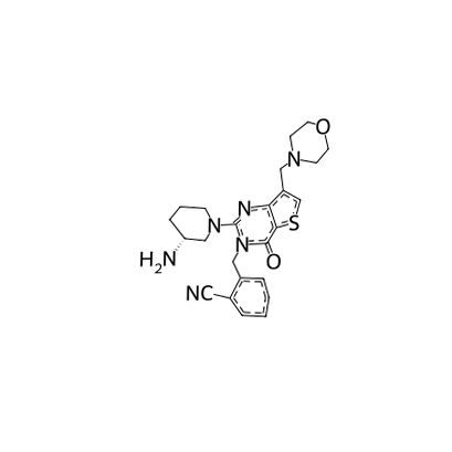 N#Cc1ccccc1Cn1c(N2CCC[C@@H](N)C2)nc2c(CN3CCOCC3)csc2c1=O